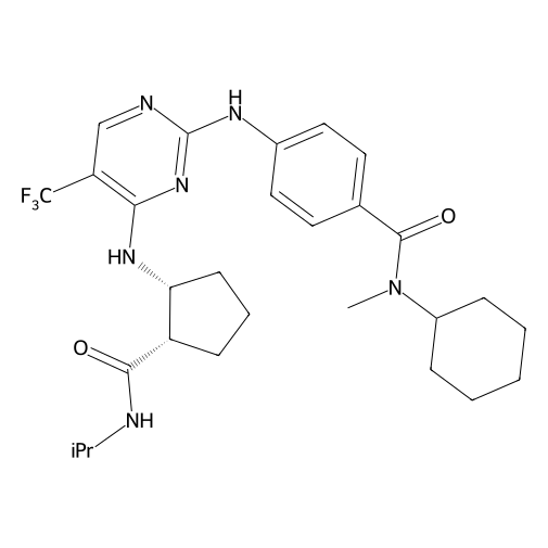 CC(C)NC(=O)[C@H]1CCC[C@H]1Nc1nc(Nc2ccc(C(=O)N(C)C3CCCCC3)cc2)ncc1C(F)(F)F